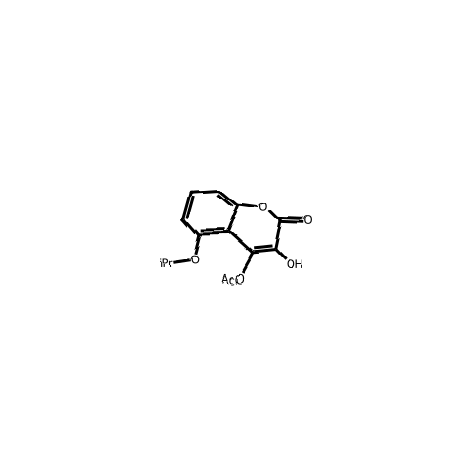 CC(=O)Oc1c(O)c(=O)oc2cccc(OC(C)C)c12